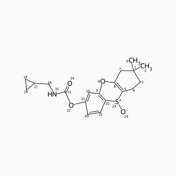 CC1(C)CCC2=C(C1)Oc1cc(OC(=O)NCC3CC3)ccc1[S+]2[O-]